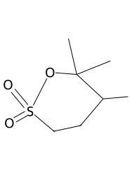 CC1CCS(=O)(=O)OC1(C)C